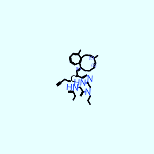 C#CCC=C=C(/C=C1\CC/C=C\C(C)=C/CC2=C1C=C=CC=C2C)c1cnc(CN(CCC)C(=C)CNC(=C)CC)[nH]1